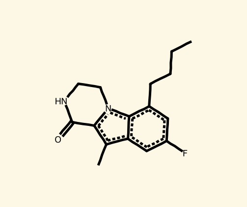 CCCCc1cc(F)cc2c(C)c3n(c12)CCNC3=O